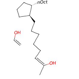 C=CO.CCCCCCCC[C@H]1CCC[C@@H]1CCCCCC=C(C)O